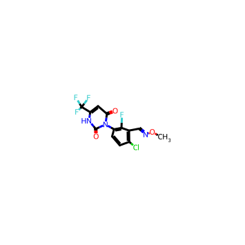 CON=Cc1c(Cl)ccc(-n2c(=O)cc(C(F)(F)F)[nH]c2=O)c1F